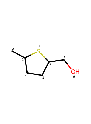 CC1CCC(CO)S1